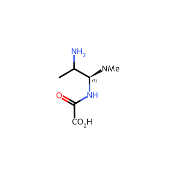 CN[C@@H](NC(=O)C(=O)O)C(C)N